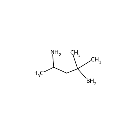 BC(C)(C)CC(C)N